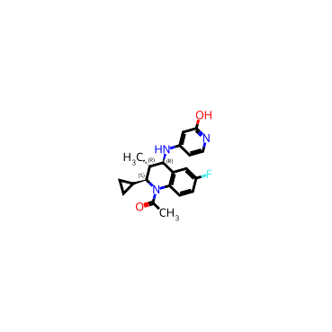 CC(=O)N1c2ccc(F)cc2[C@H](Nc2ccnc(O)c2)[C@@H](C)[C@@H]1C1CC1